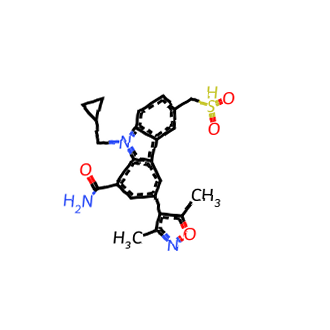 Cc1noc(C)c1-c1cc(C(N)=O)c2c(c1)c1cc(C[SH](=O)=O)ccc1n2CC1CC1